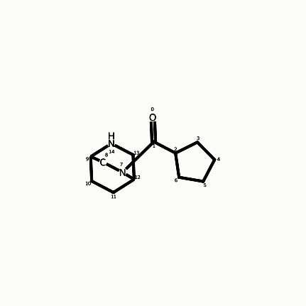 O=C(C1CCCC1)N1CC2CCC1CN2